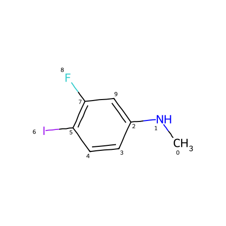 CNc1ccc(I)c(F)c1